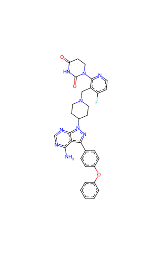 Nc1ncnc2c1c(-c1ccc(Oc3ccccc3)cc1)nn2C1CCN(Cc2c(F)ccnc2N2CCC(=O)NC2=O)CC1